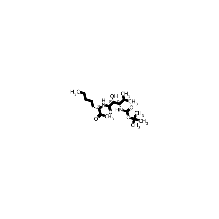 CCCCC[C@H](NC(=O)[C@H](O)[C@@H](NC(=O)OC(C)(C)C)C(C)C)C(C)=O